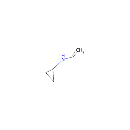 C=CNC1CC1